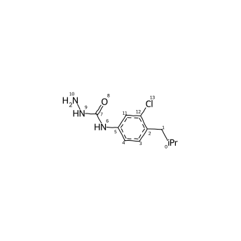 CC(C)Cc1ccc(NC(=O)NN)cc1Cl